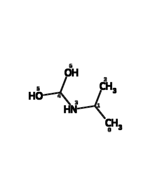 CC(C)NC(O)O